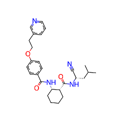 CC(C)C[C@@H](C#N)NC(=O)[C@@H]1CCCC[C@@H]1NC(=O)c1ccc(OCCc2cccnc2)cc1